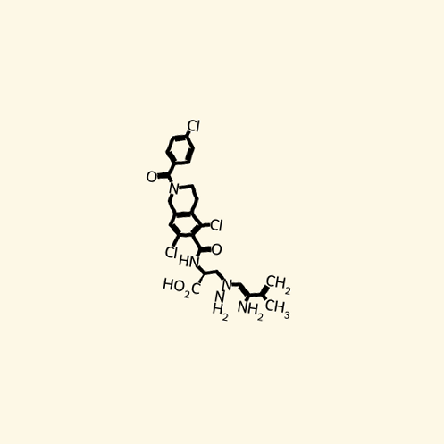 C=C(C)/C(N)=C/N(N)C[C@H](NC(=O)c1c(Cl)cc2c(c1Cl)CCN(C(=O)c1ccc(Cl)cc1)C2)C(=O)O